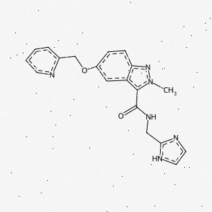 Cn1nc2ccc(OCc3ccccn3)cc2c1C(=O)NCc1ncc[nH]1